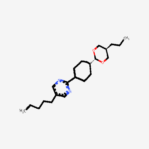 CCCCCc1cnc(C2CCC([C@H]3OC[C@H](CCC)CO3)CC2)nc1